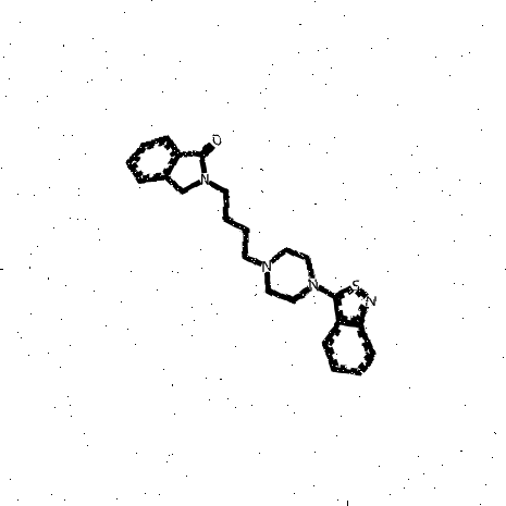 O=C1c2ccccc2CN1CCCCN1CCN(c2snc3ccccc23)CC1